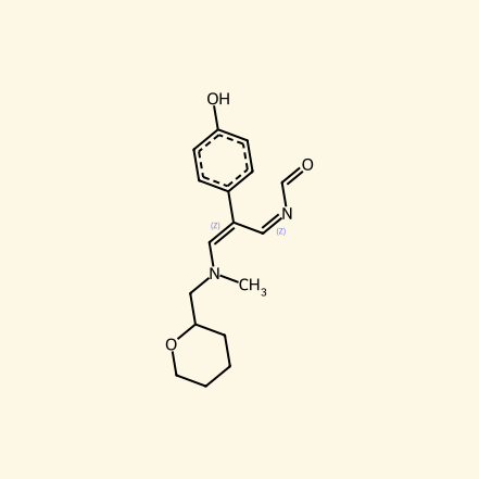 CN(/C=C(\C=N/C=O)c1ccc(O)cc1)CC1CCCCO1